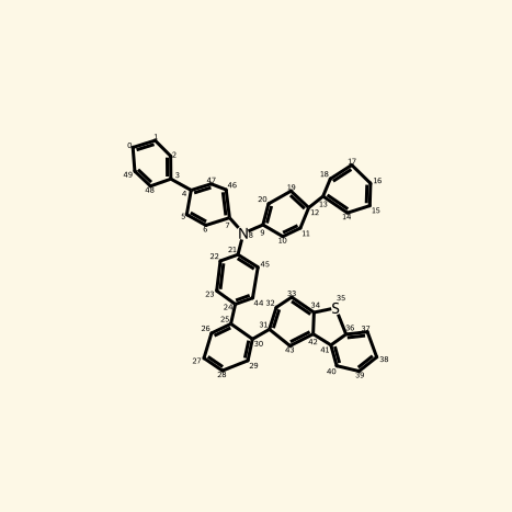 c1ccc(-c2ccc(N(c3ccc(-c4ccccc4)cc3)c3ccc(-c4ccccc4-c4ccc5sc6ccccc6c5c4)cc3)cc2)cc1